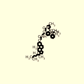 CC(C)CCCC(C)C1CCC2C3CC=C4C[C@@H](OCC(=O)NCCOCC(=O)N5C[C@H](C)C[C@H]5CO[Si](c5ccccc5)(c5ccccc5)C(C)(C)C)CC[C@]4(C)C3CC[C@]12C